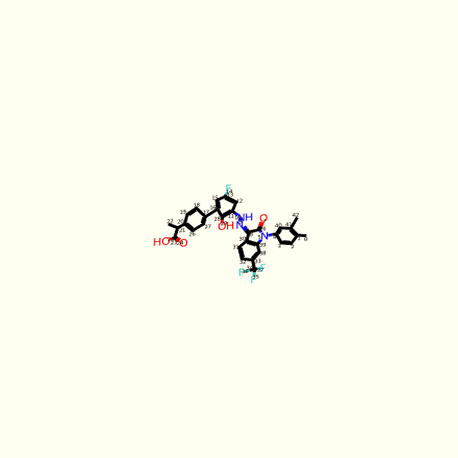 Cc1ccc(N2C(=O)/C(=N\Nc3cc(F)cc(-c4ccc(C(C)C(=O)O)cc4)c3O)c3ccc(C(F)(F)F)cc32)cc1C